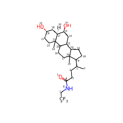 CC(CCC(=O)NCC(F)(F)F)C1CCC2C3C[C@H](O)[C@@H]4C[C@H](O)CCC4(C)C3CCC12C